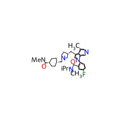 CNC(=O)[C@H]1CC[C@@H](CN2CC[C@@H](Cc3cn(-c4ccc(F)cc4C(=O)N(C)C(C)C)c4cncc(C)c34)C2)CC1